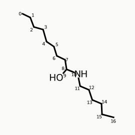 CCCCCCCCC(O)NCCCCCC